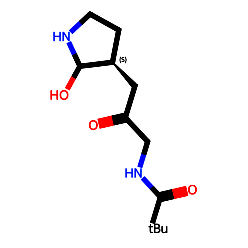 CC(C)(C)C(=O)NCC(=O)C[C@@H]1CCNC1O